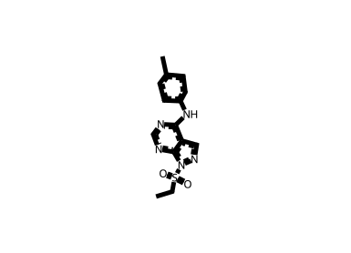 CCS(=O)(=O)n1ncc2c(Nc3ccc(C)cc3)ncnc21